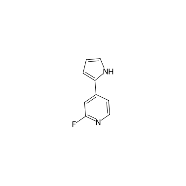 Fc1cc(-c2ccc[nH]2)ccn1